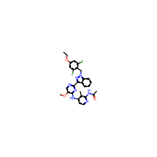 CCOc1cc(F)c(Cn2nc(-c3ncc(OC)c(Nc4ccnc(NC(C)=O)c4C)n3)c3ccccc32)c(F)c1